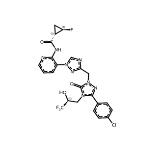 O=C(Nc1ncccc1-n1cnc(Cn2nc(-c3ccc(Cl)cc3)n(C[C@H](O)C(F)(F)F)c2=O)n1)[C@@H]1C[C@H]1F